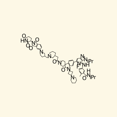 Cc1cc(F)c(Nc2nc(-c3ccc4c(c3)N(C3CC(N5CCCCC5)C3)C(=O)C43CCN(C(=O)CC4CCCN(CC5CCN(c6ccc7c(c6)C(=O)N(C6CCC(=O)NC6=O)C7=O)C5)C4)CC3)cc3ncn(C(C)C)c23)cc1C(=O)NC(C)C